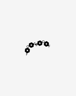 Fc1ccc(Oc2ccc(SSc3ccc(Oc4ccc(F)cc4)cc3)cc2)cc1